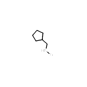 C[CH]NCC1CCCC1